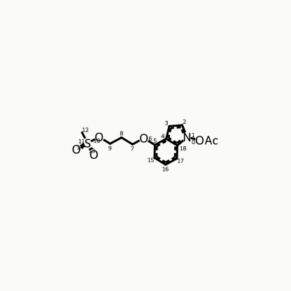 CC(=O)On1ccc2c(OCCCOS(C)(=O)=O)cccc21